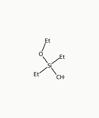 [CH][Si](CC)(CC)OCC